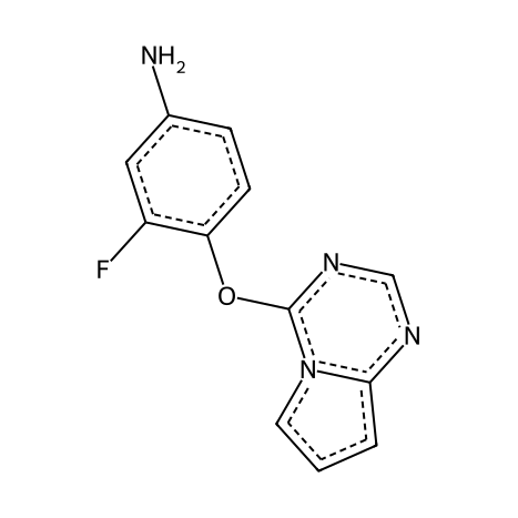 Nc1ccc(Oc2ncnc3cccn23)c(F)c1